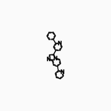 c1ccc(-c2cc(-c3cnc4cc(-c5ccccn5)ccn34)ccn2)cc1